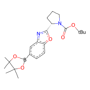 CC(C)(C)OC(=O)N1CCC[C@H]1c1nc2cc(B3OC(C)(C)C(C)(C)O3)ccc2o1